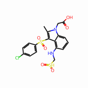 Cc1c(S(=O)(=O)c2ccc(Cl)cc2)c2c(NC[SH](=O)=O)cccc2n1CC(=O)O